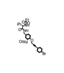 CCS(=O)(=O)NC(C(=O)NCc1ccc(OCC#Cc2ccc(Br)cc2)c(OC)c1)C(C)C